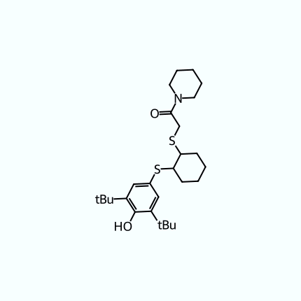 CC(C)(C)c1cc(SC2CCCCC2SCC(=O)N2CCCCC2)cc(C(C)(C)C)c1O